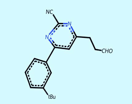 CC(C)(C)c1cccc(-c2cc(CCC=O)nc(C#N)n2)c1